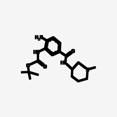 CN1CCCC(NC(=O)c2ccc(N)c(NC(=O)OC(C)(C)C)c2)C1